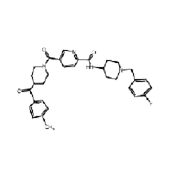 Cc1ccc(C(=O)C2CCN(C(=O)c3ccc(C(=O)NC4CCN(Cc5ccc(F)cc5)CC4)nc3)CC2)cc1